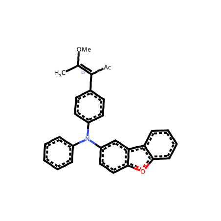 CO/C(C)=C(\C(C)=O)c1ccc(N(c2ccccc2)c2ccc3oc4ccccc4c3c2)cc1